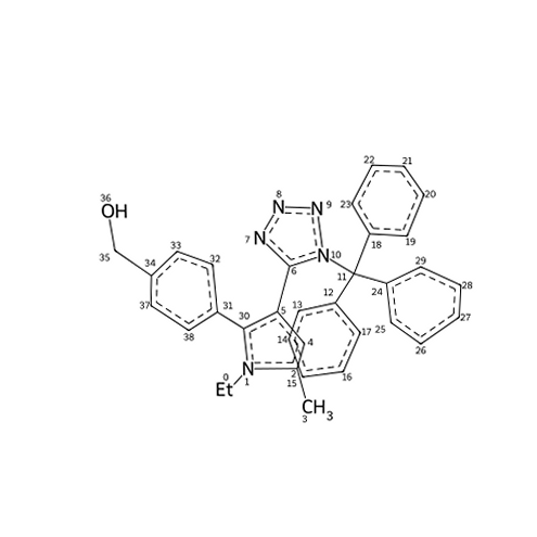 CCn1c(C)cc(-c2nnnn2C(c2ccccc2)(c2ccccc2)c2ccccc2)c1-c1ccc(CO)cc1